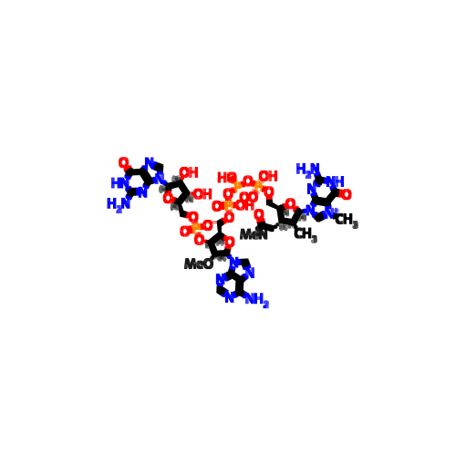 CNC(=O)C[C@H]1[C@@H](C)[C@H](n2c[n+](C)c3c(=O)[nH]c(N)nc32)O[C@@H]1COP(=O)(O)OP(=O)(O)OP(=O)(O)OC[C@H]1O[C@@H](n2cnc3c(N)ncnc32)[C@H](OC)[C@@H]1OP(=O)([O-])OC[C@H]1O[C@@H](n2cnc3c(=O)[nH]c(N)nc32)[C@H](O)[C@@H]1O